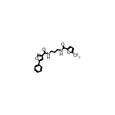 O=C(NCCCNC(=O)c1ccc(C(F)(F)F)o1)c1cc(-c2ccccc2)on1